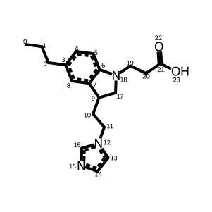 CCCc1ccc2c(c1)C(CCn1ccnc1)CN2CCC(=O)O